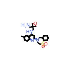 Cc1ccc2nc(N3CCS(=O)(=O)c4ccccc4C3)cc(NCC3(CN)COC3)c2c1